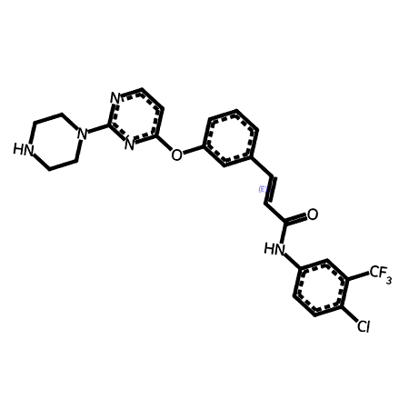 O=C(/C=C/c1cccc(Oc2ccnc(N3CCNCC3)n2)c1)Nc1ccc(Cl)c(C(F)(F)F)c1